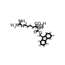 Cl.NC(N)=NCCCC[C@H](NC(=O)OCC1c2ccccc2-c2ccccc21)C(=O)O